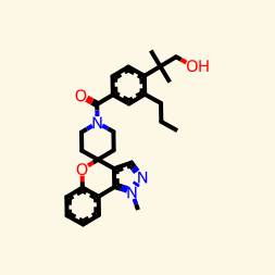 CCCc1cc(C(=O)N2CCC3(CC2)Oc2ccccc2-c2c3cnn2C)ccc1C(C)(C)CO